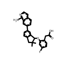 CC1(C)Cc2ccc(-c3ccc4ccnc(N)c4c3)cc2C1Oc1cc(F)ccc1CC(=O)O